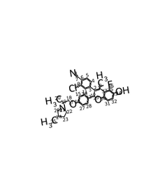 CC1=C(c2ccc(C#N)c(Cl)c2)C(c2ccc(OCC(C)N3CCC(C)C3)cc2)Oc2ccc(O)c(F)c21